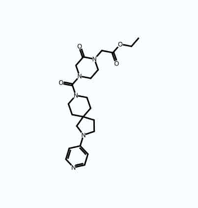 CCOC(=O)CN1CCN(C(=O)N2CCC3(CC2)CCN(c2ccncc2)C3)CC1=O